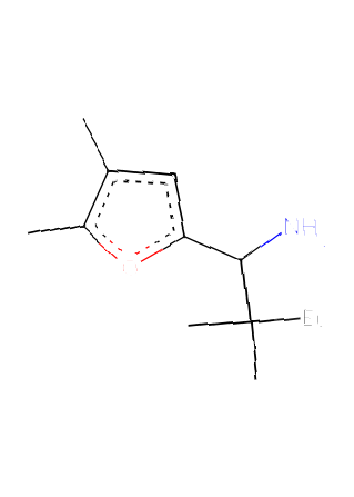 CCC(C)(C)C(N)c1cc(C)c(C)o1